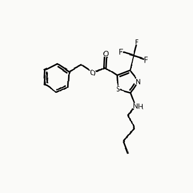 CCCCNc1nc(C(F)(F)F)c(C(=O)OCc2ccccc2)s1